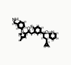 Cc1cc(C(=O)Cc2cc(C(CCC3CC3)Oc3ccccn3)ccc2F)n(-c2cccc(CN)c2)n1